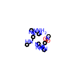 Nc1ncccc1-c1nc2cccnc2n1-c1ccc(CNCc2ccccc2)cc1.Nc1ncccc1-c1nc2cccnc2n1-c1ccc(S(=O)(=O)N2CCCCC2)cc1